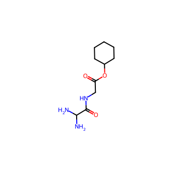 NC(N)C(=O)NCC(=O)OC1CCCCC1